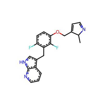 CC1N=CC=C1COc1ccc(F)c(Cc2c[nH]c3ncccc23)c1F